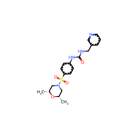 C[C@@H]1CN(S(=O)(=O)c2ccc(NC(=O)NCc3cccnc3)cc2)C[C@H](C)O1